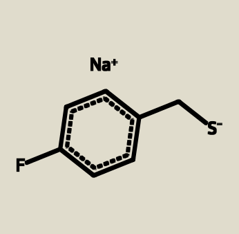 Fc1ccc(C[S-])cc1.[Na+]